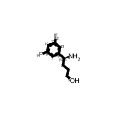 N[C@@H](CCCO)c1cc(F)cc(F)c1